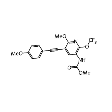 COC(=O)Nc1cc(C#Cc2ccc(OC)cc2)c(OC)nc1OC(F)(F)F